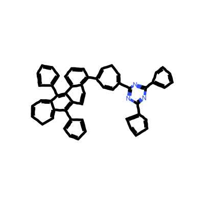 C1=CCC=c2c(-c3ccccc3)c3ccc4c(C5=CCC=C(c6nc(-c7ccccc7)nc(-c7ccccc7)n6)C=C5)cccc4c3c(-c3ccccc3)c2=C1